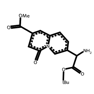 COC(=O)c1cc(=O)n2cc(C(N)C(=O)OC(C)(C)C)ccc2c1